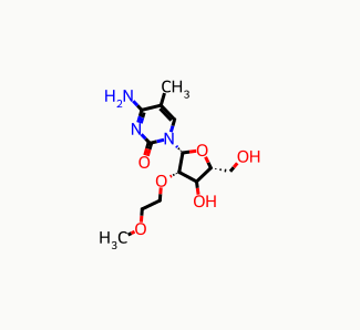 COCCO[C@H]1C(O)[C@@H](CO)O[C@H]1n1cc(C)c(N)nc1=O